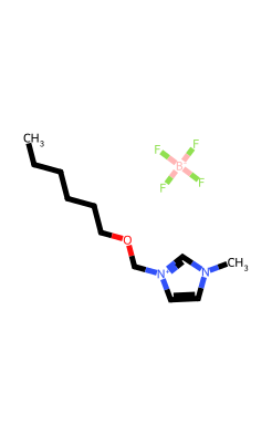 CCCCCCOC[n+]1ccn(C)c1.F[B-](F)(F)F